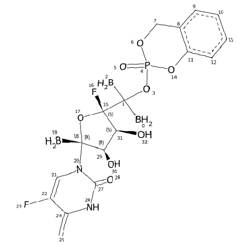 BC(B)(OP1(=O)OCc2ccccc2O1)[C@@]1(F)O[C@@](B)(N2C=C(F)C(=C)NC2=O)[C@H](O)[C@@H]1O